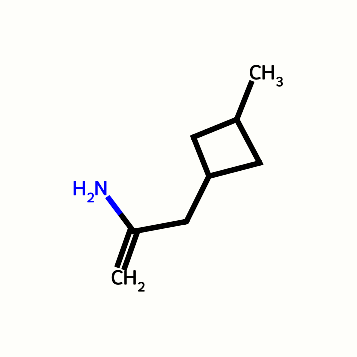 C=C(N)CC1CC(C)C1